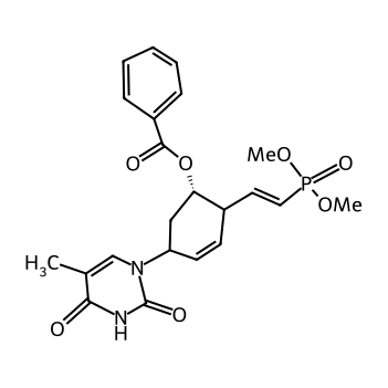 COP(=O)(/C=C/C1C=CC(n2cc(C)c(=O)[nH]c2=O)C[C@@H]1OC(=O)c1ccccc1)OC